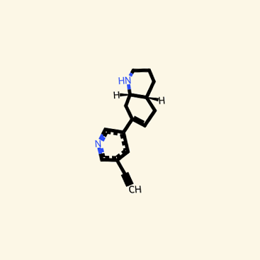 C#Cc1cncc(C2=CC[C@H]3CCCN[C@H]3C2)c1